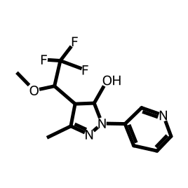 COC(C1C(C)=NN(c2cccnc2)C1O)C(F)(F)F